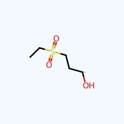 CCS(=O)(=O)CC[CH]O